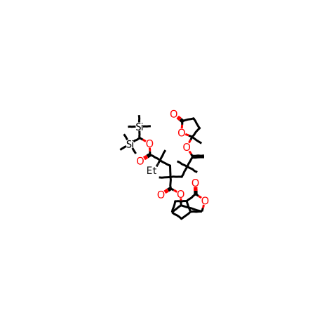 C=C(OC1(C)CCC(=O)O1)C(C)(C)CC(C)(CC(C)(CC)C(=O)OC([Si](C)(C)C)[Si](C)(C)C)C(=O)OC1C2CC3C(=O)OC1C3C2